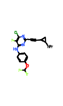 CCCC1CC1C#Cc1nc(Cl)c(F)c(Nc2ccc(OC(F)F)cc2)n1